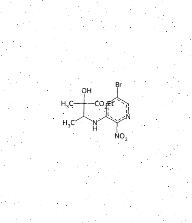 CCOC(=O)C(C)(O)C(C)Nc1cc(Br)cnc1[N+](=O)[O-]